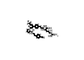 N#Cc1ccc(CCNC(=O)[C@@H]2CCCN2c2cc(-c3ccc(CCC(=O)NC(CCCNC(=N)N)C(=O)O)cc3)cc(C(F)(F)F)n2)cc1